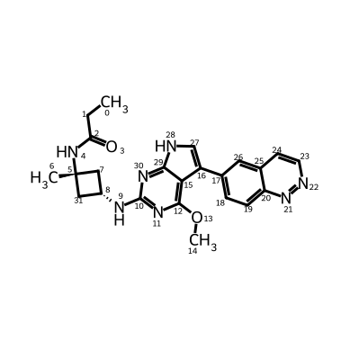 CCC(=O)N[C@]1(C)C[C@H](Nc2nc(OC)c3c(-c4ccc5nnccc5c4)c[nH]c3n2)C1